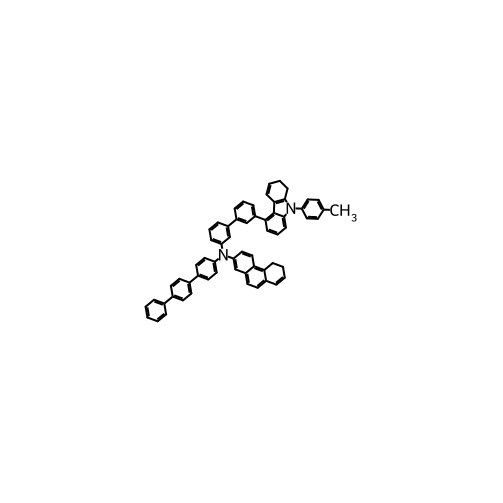 Cc1ccc(-n2c3c(c4c(-c5cccc(-c6cccc(N(c7ccc(-c8ccc(-c9ccccc9)cc8)cc7)c7ccc8c9c(ccc8c7)C=CCC9)c6)c5)cccc42)C=CCC3)cc1